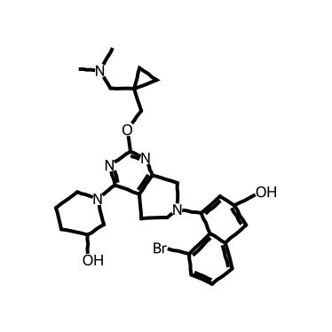 CN(C)CC1(COc2nc3c(c(N4CCCC(O)C4)n2)CCN(c2cc(O)cc4cccc(Br)c24)C3)CC1